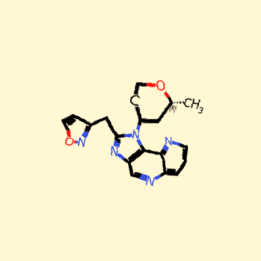 C[C@@H]1CC(n2c(Cc3ccon3)nc3cnc4cccnc4c32)CCO1